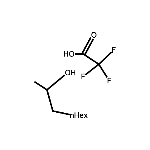 CCCCCCCC(C)O.O=C(O)C(F)(F)F